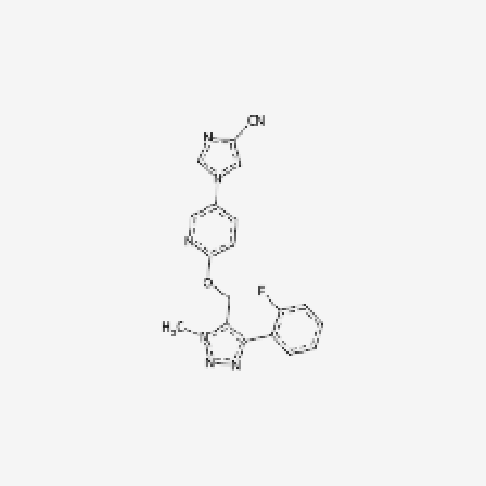 Cn1nnc(-c2ccccc2F)c1COc1ccc(-n2cnc(C#N)c2)cn1